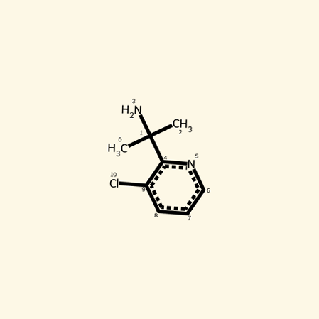 CC(C)(N)c1ncccc1Cl